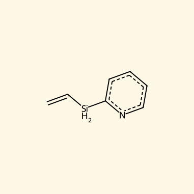 C=C[SiH2]c1ccccn1